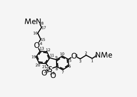 CNCCCOc1ccc2c(c1)-c1cc(OCCCNC)ccc1S2(=O)=O